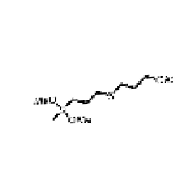 CO[Si](C)(CCCSCCCOC(C)=O)OC